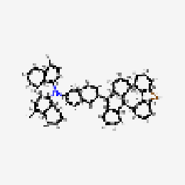 Cc1ccc(N(c2ccc3cc(-c4c5ccccc5c(-c5cccc6sc7ccccc7c56)c5ccccc45)ccc3c2)c2ccc(C)c3ccccc23)c2ccccc12